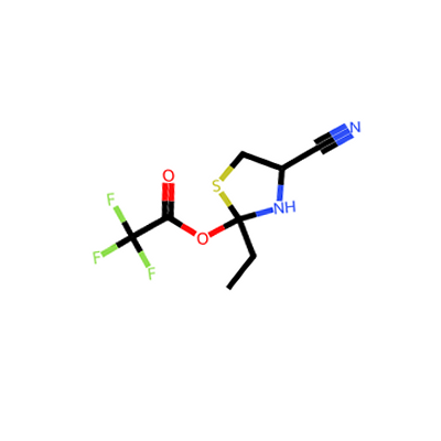 CCC1(OC(=O)C(F)(F)F)NC(C#N)CS1